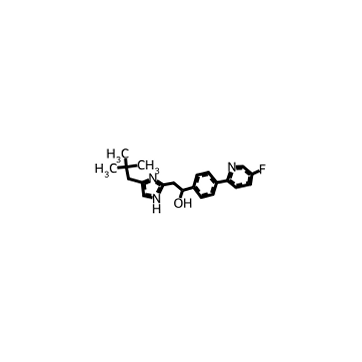 CC(C)(C)Cc1c[nH]c(CC(O)c2ccc(-c3ccc(F)cn3)cc2)n1